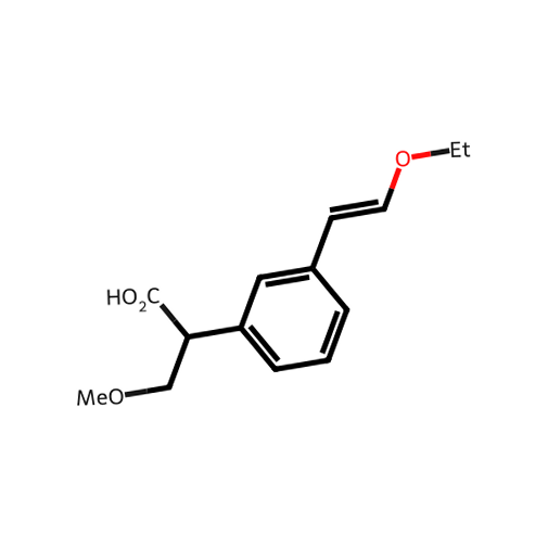 CCO/C=C/c1cccc(C(COC)C(=O)O)c1